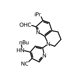 CCCCNc1cc(N2CCCc3cc(C(C)C)c(C=O)nc32)ncc1C#N